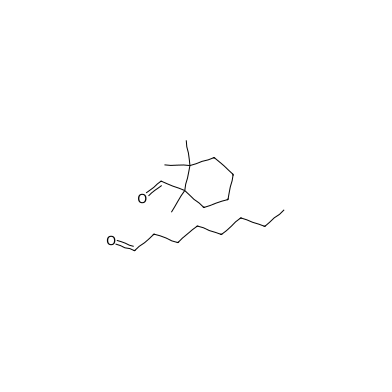 CC1(C)CCCCC1(C)C=O.CCCCCCCC=O